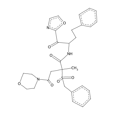 CC(CC(=O)N1CCOCC1)(C(=O)NC(CCc1ccccc1)C(=O)c1ncco1)S(=O)(=O)Cc1ccccc1